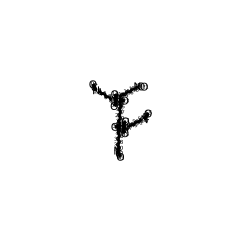 O=C=NCCCCCCn1c(=O)n(CCCCCCN=C=O)c(=O)n(CCCCCCn2c(=O)n(CCCCCCN=C=O)c(=O)n(CCCCCCN=C=O)c2=O)c1=O